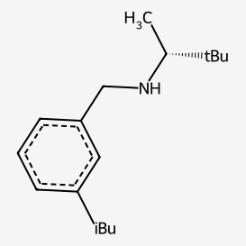 CCC(C)c1cccc(CN[C@H](C)C(C)(C)C)c1